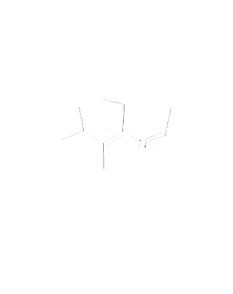 C/C=N\C(CC)=C(/C)C(C)C